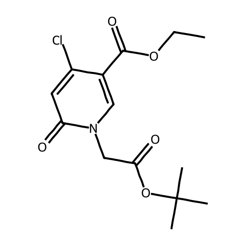 CCOC(=O)c1cn(CC(=O)OC(C)(C)C)c(=O)cc1Cl